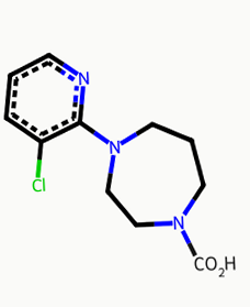 O=C(O)N1CCCN(c2ncccc2Cl)CC1